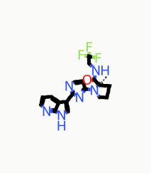 C[C@]1(C(=O)NCC(F)(F)F)CCCN1c1ccnc(-c2c[nH]c3ncccc23)n1